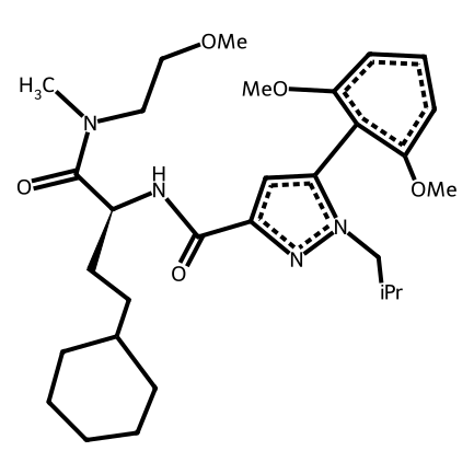 COCCN(C)C(=O)[C@H](CCC1CCCCC1)NC(=O)c1cc(-c2c(OC)cccc2OC)n(CC(C)C)n1